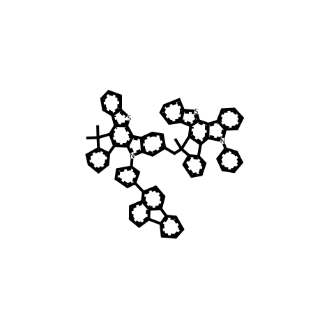 CC1(C)c2ccccc2-c2c1c1c3ccccc3sc1c1c3ccc(CC4(C)c5ccccc5-c5c4c4c6ccccc6sc4c4c6ccccc6n(-c6ccccc6)c54)cc3n(-c3cccc(-c4ccc5c6c(cccc46)-c4ccccc4-5)c3)c21